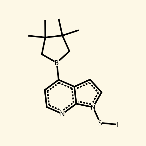 CC1(C)CB(c2ccnc3c2ccn3SI)CC1(C)C